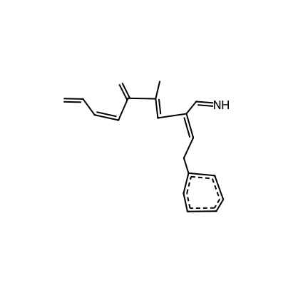 C=C/C=C\C(=C)/C(C)=C/C(C=N)=C\Cc1ccccc1